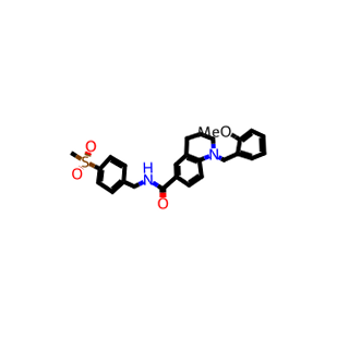 COc1ccccc1CN1CCCc2cc(C(=O)NCc3ccc(S(C)(=O)=O)cc3)ccc21